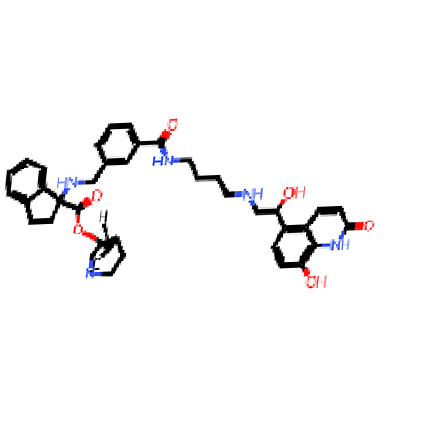 O=C(NCCCCNCC(O)c1ccc(O)c2[nH]c(=O)ccc12)c1cccc(CNC2(C(=O)O[C@H]3CN4CCC3CC4)CCc3ccccc32)c1